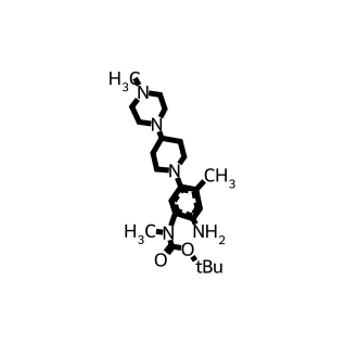 Cc1cc(N)c(N(C)C(=O)OC(C)(C)C)cc1N1CCC(N2CCN(C)CC2)CC1